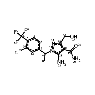 CC(c1ccc(C(F)(F)F)c(F)c1)n1nc(CO)c(C(N)=O)c1N